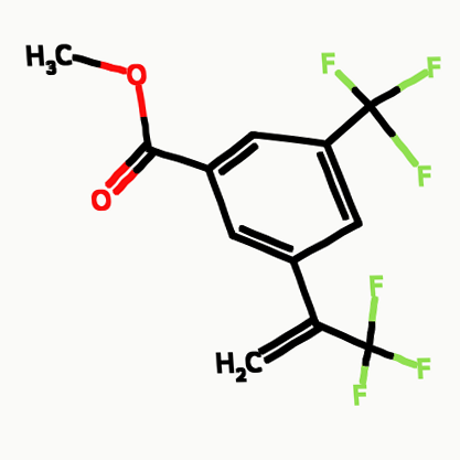 C=C(c1cc(C(=O)OC)cc(C(F)(F)F)c1)C(F)(F)F